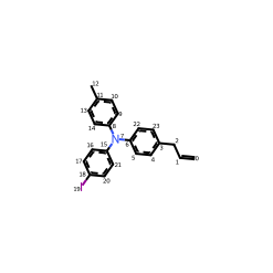 C=CCc1ccc(N(c2ccc(C)cc2)c2ccc(I)cc2)cc1